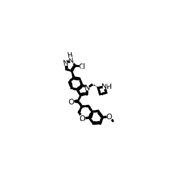 COc1ccc2c(c1)CC(C(=O)c1cn(C[C@H]3CCN3)c3cc(-c4cn[nH]c4Cl)ccc13)CO2